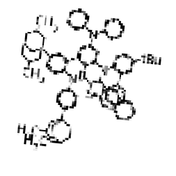 CC1CC2CC(C)CC(c3ccc4c(c3)-c3cc(N(c5ccccc5)c5ccccc5)cc5c3B(c3sc6cc7ccccc7cc6c3N5c3ccc(C(C)(C)C)cc3-c3ccccc3)N4c3ccc(C45CCC(CC(C)C4)C(C)C5)cc3)(C1)C2